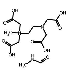 CNC=O.C[N+](CCN(CC(=O)O)CC(=O)O)(CC(=O)O)CC(=O)O